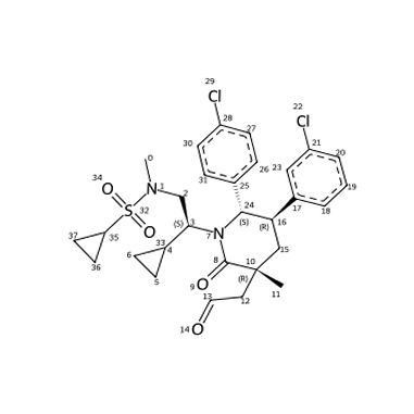 CN(C[C@H](C1CC1)N1C(=O)[C@@](C)(CC=O)C[C@H](c2cccc(Cl)c2)[C@H]1c1ccc(Cl)cc1)S(=O)(=O)C1CC1